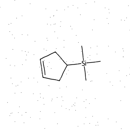 C[Si](C)(C)C1CC=CC1